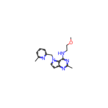 COCCNc1nc(C)nc2ccn(Cc3cccc(C)n3)c12